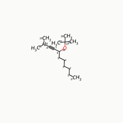 CCCCCCC(C#[C][Al]([CH3])[CH3])OC(C)(C)C